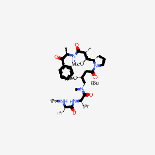 CC[C@H](C)[C@@H]([C@@H](CC(=O)N1CCC[C@H]1[C@H](OC)[C@@H](C)C(=O)N[C@H](C)C(=O)c1ccccc1)OC)N(C)C(=O)[C@@H](NC(=O)[C@@H](NC(C)C)C(C)C)C(C)C